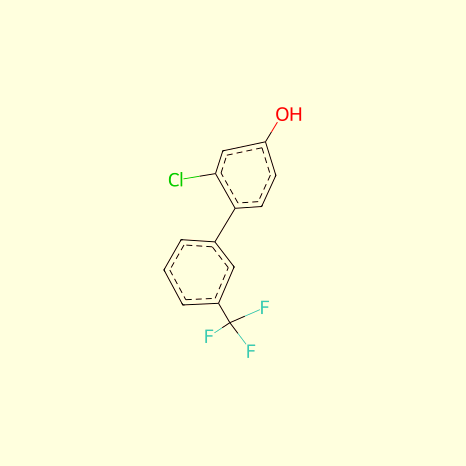 Oc1ccc(-c2cccc(C(F)(F)F)c2)c(Cl)c1